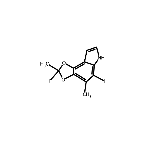 Cc1c2c(c3cc[nH]c3c1I)OC(C)(I)O2